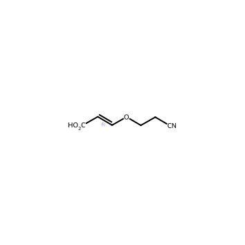 N#CCCO/C=C/C(=O)O